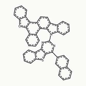 c1ccc2cc(-c3nc(-n4c5ccccc5c5ccc6c7c8ccccc8oc7c7ccccc7c6c54)nc4c3sc3ccccc34)ccc2c1